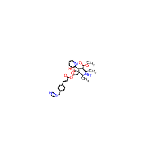 COC(=O)C1=C(C)NC(C)C(CCOC(=O)C=Cc2ccc(Cn3ccnc3)cc2)(C(=O)O)C1c1ccccn1